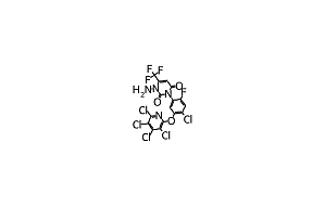 Nn1c(C(F)(F)F)cc(=O)n(-c2cc(Oc3nc(Cl)c(Cl)c(Cl)c3Cl)c(Cl)cc2F)c1=O